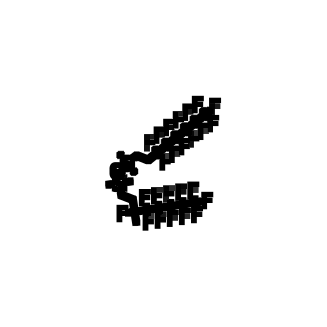 CC(F)(CC[Si](C)(C)O[Si](C)(C)CCC(F)(F)C(F)(F)C(F)(F)C(F)(F)C(F)(F)C(F)(F)F)C(F)(F)C(F)(F)C(F)(F)C(F)(F)C(F)(F)F